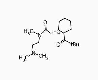 CN(C)CCN(C)C(=O)C[C@@H]1CCCCC1C(=O)C(C)(C)C